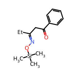 CCC(CC(=O)c1ccccc1)=NO[Si](C)(C)C